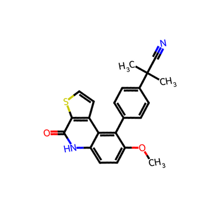 COc1ccc2[nH]c(=O)c3sccc3c2c1-c1ccc(C(C)(C)C#N)cc1